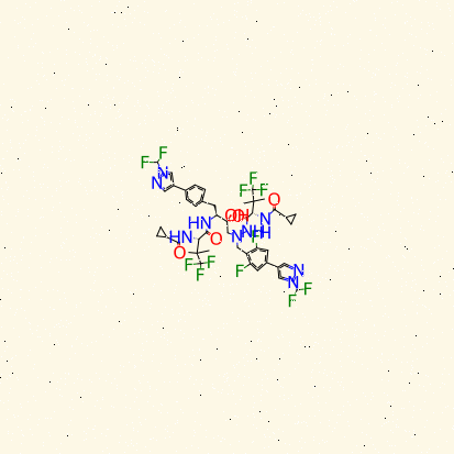 CC(C)([C@H](NC(=O)C1CC1)C(=O)N[C@@H](Cc1ccc(-c2cnn(C(F)F)c2)cc1)[C@@H](O)CN(Cc1c(F)cc(-c2cnn(C(F)F)c2)cc1F)NC(=O)[C@@H](NC(=O)C1CC1)C(C)(C)C(F)(F)F)C(F)(F)F